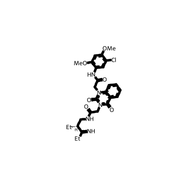 CCC(=N)[C@H](CC)CNC(=O)Cn1c(=O)c2ccccc2n(CC(=O)Nc2cc(Cl)c(OC)cc2OC)c1=O